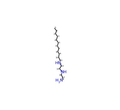 CCCCCCCCCCCCNCCNCCN